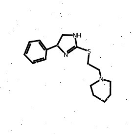 c1ccc(C2CNC(SCCN3CCCCC3)=N2)cc1